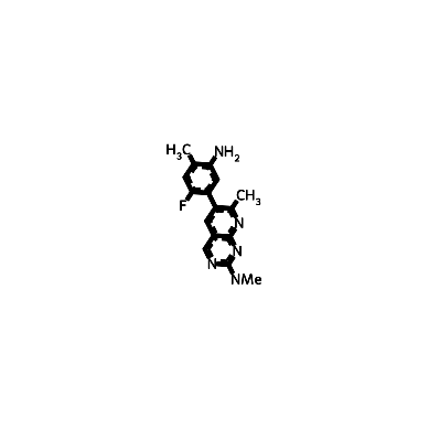 CNc1ncc2cc(-c3cc(N)c(C)cc3F)c(C)nc2n1